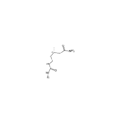 CCNC(=O)NC[CH][C@H](C)CC(N)=O